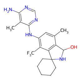 Cc1cc(Nc2ncnc(N)c2C)c(C(F)(F)F)c2c1C(O)NC21CCCCC1